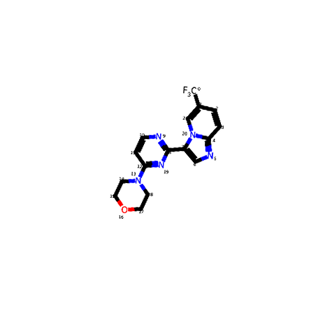 FC(F)(F)c1ccc2ncc(-c3nccc(N4CCOCC4)n3)n2c1